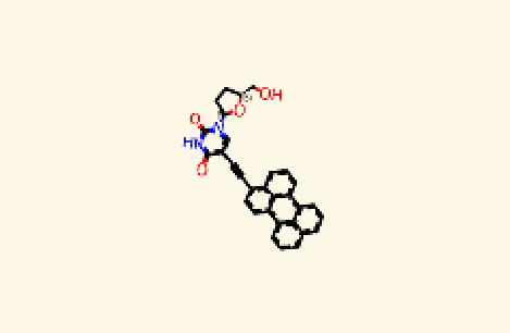 O=c1[nH]c(=O)n([C@H]2CC[C@@H](CO)O2)cc1C#Cc1ccc2c3cccc4cccc(c5cccc1c52)c43